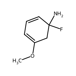 COC1=CC=CC(N)(F)C1